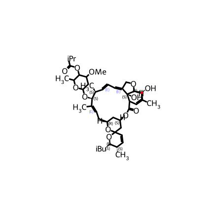 CC[C@H](C)[C@H]1OC2(C=C[C@@H]1C)C[C@@H]1C[C@@H](C/C=C(\C)[C@@H](OC3CC(OC)C(OC(=O)C(C)C)C(C)O3)[C@@H](C)/C=C/C=C3\CO[C@@H]4[C@H](O)C(C)=CC(C(=O)O1)[C@]34O)O2